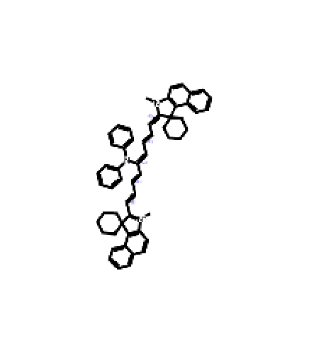 CN1/C(=C/C=C/C=C(/C=C/C=C/C2=[N+](C)c3ccc4ccccc4c3C23CCCCC3)N(c2ccccc2)c2ccccc2)C2(CCCCC2)c2c1ccc1ccccc21